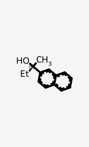 CC[C@](C)(O)c1ccc2ccccc2c1